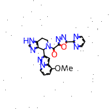 COc1cccn2nc(C3c4nc[nH]c4CCN3C(=O)c3nnc(-c4ncccn4)o3)cc12